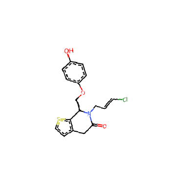 O=C1Cc2ccsc2C(COc2ccc(O)cc2)N1C/C=C/Cl